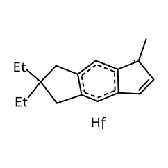 CCC1(CC)Cc2cc3c(cc2C1)[C](C)C=C3.[Hf]